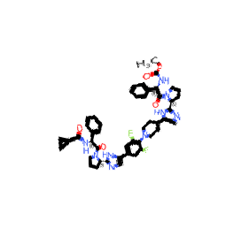 COC(=O)N[C@@H](C(=O)N1CCC[C@H]1c1ncc(C2CCN(c3c(F)cc(-c4cnc([C@@H]5CCCN5C(=O)[C@H](NC(=O)C5CC5)c5ccccc5)[nH]4)cc3F)CC2)[nH]1)c1ccccc1